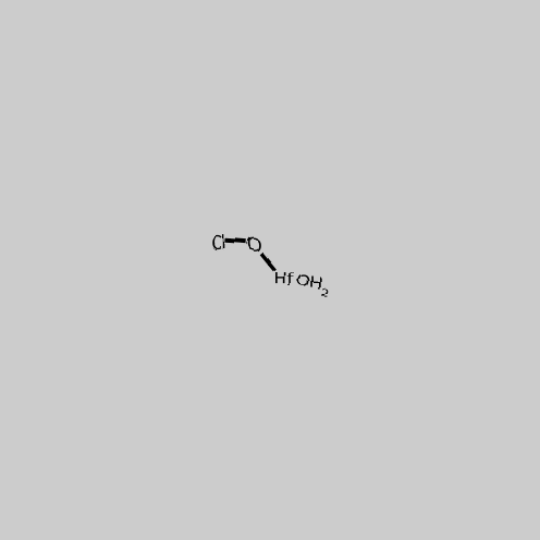 Cl[O][Hf].O